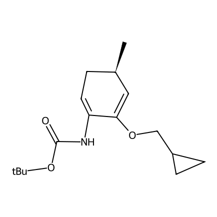 C[C@H]1C=C(OCC2CC2)C(NC(=O)OC(C)(C)C)=CC1